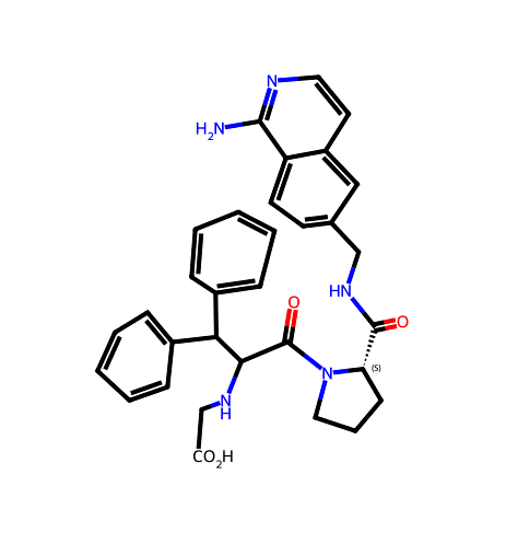 Nc1nccc2cc(CNC(=O)[C@@H]3CCCN3C(=O)C(NCC(=O)O)C(c3ccccc3)c3ccccc3)ccc12